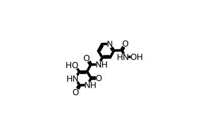 O=C(NO)c1cc(NC(=O)c2c(O)[nH]c(=O)[nH]c2=O)ccn1